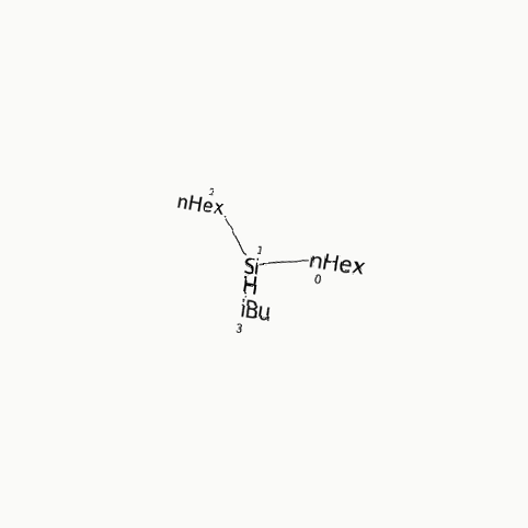 CCCCCC[SiH](CCCCCC)C(C)CC